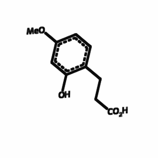 COc1ccc(CCC(=O)O)c(O)c1